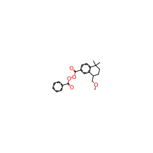 COCC1CCC(C)(C)c2ccc(C(=O)OOC(=O)c3ccccc3)cc21